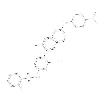 COc1nc(NS(=O)(=O)c2ccccc2Cl)ccc1-c1cc2cnc(NC3CCC(N(C)C)CC3)nc2cc1C